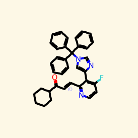 O=C(/C=C/c1nccc(F)c1-c1cn(C(c2ccccc2)(c2ccccc2)c2ccccc2)cn1)C1CCCCC1